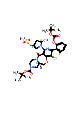 C[C@H]1C[C@H](OS(C)(=O)=O)CN1c1nc(-c2c(F)cccc2OC(=O)OC(C)(C)C)c(Cl)c2c1C(=O)N1CCN(C(=O)OC(C)(C)C)C[C@@H]1CO2